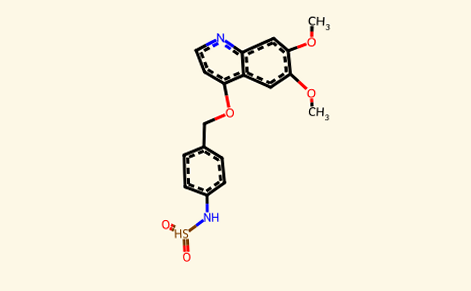 COc1cc2nccc(OCc3ccc(N[SH](=O)=O)cc3)c2cc1OC